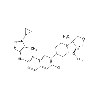 CO[C@@H]1COCC1(C)N1CCC(c2cc3nc(Nc4cnn(C5CC5)c4C)ncc3cc2Cl)CC1